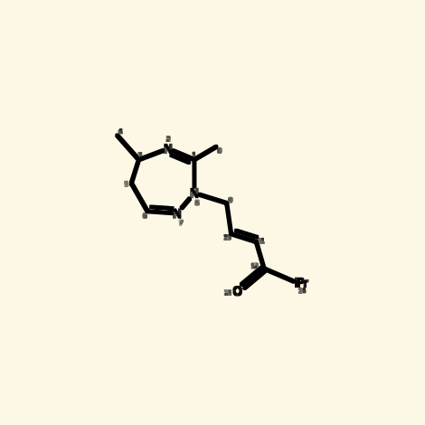 CC1=NC(C)CC=NN1C/C=C/C(=O)C(C)C